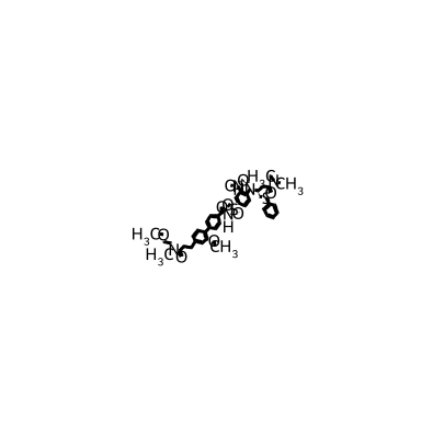 COCCN(C)C(=O)CCc1ccc(-c2ccc(C(=O)NS(=O)(=O)c3ccc(N[C@@H](CSc4ccccc4)CC(=O)N(C)C)c([N+](=O)[O-])c3)cc2)c(OC)c1